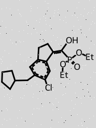 CCOP(=O)(OCC)C(O)=C1CCc2cc(CC3CCCC3)c(Cl)cc21